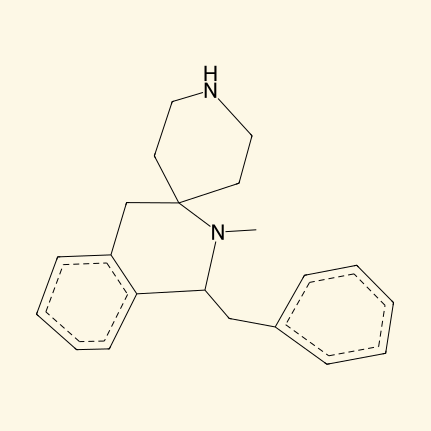 CN1C(Cc2ccccc2)c2ccccc2CC12CCNCC2